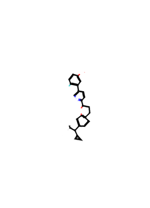 C[C@H](C(=O)O)C(c1ccc2c(c1)OC(c1ccc(-c3cc(O)ccc3F)cn1)CC2)C1CC1